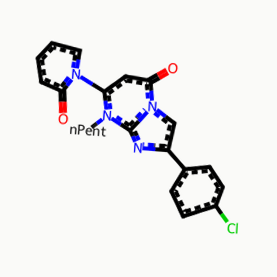 CCCCCn1c(-n2ccccc2=O)cc(=O)n2cc(-c3ccc(Cl)cc3)nc12